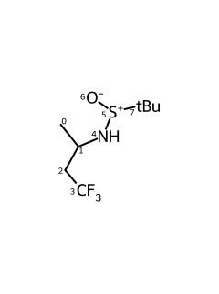 CC(CC(F)(F)F)N[S+]([O-])C(C)(C)C